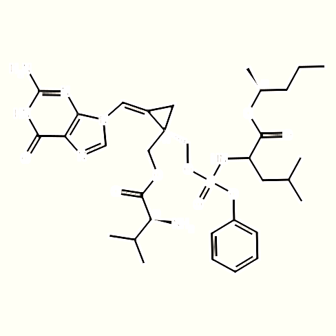 CCC[C@H](C)OC(=O)C(CC(C)C)NP(=O)(OC[C@@]1(COC(=O)[C@@H](N)C(C)C)C/C1=C/n1cnc2c(=O)[nH]c(N)nc21)Oc1ccccc1